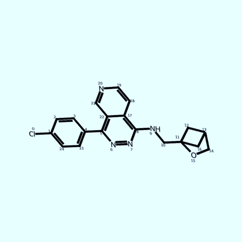 Clc1ccc(-c2nnc(NCC34CC(CO3)C4)c3ccncc23)cc1